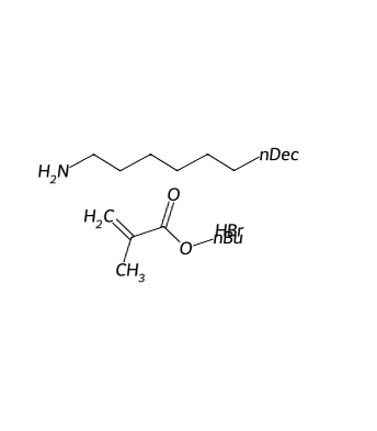 Br.C=C(C)C(=O)OCCCC.CCCCCCCCCCCCCCCCN